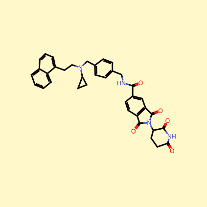 O=C1CCC(N2C(=O)c3ccc(C(=O)NCc4ccc(CN(CCc5cccc6ccccc56)C5CC5)cc4)cc3C2=O)C(=O)N1